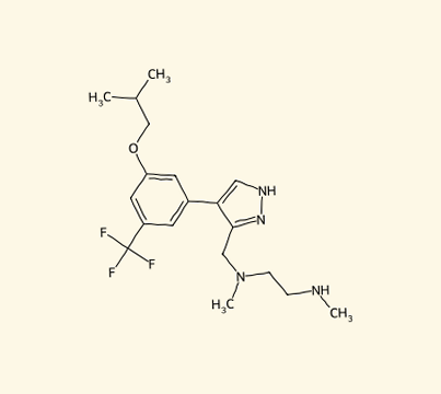 CNCCN(C)Cc1n[nH]cc1-c1cc(OCC(C)C)cc(C(F)(F)F)c1